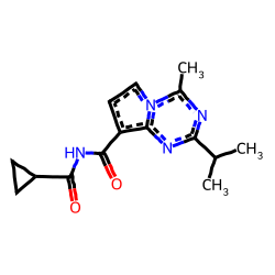 Cc1nc(C(C)C)nc2c(C(=O)NC(=O)C3CC3)ccn12